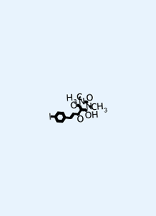 Cn1c(O)c(C(=O)/C=C/c2ccc(I)cc2)c(=O)n(C)c1=O